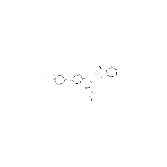 COc1ncc(-c2ccc([C@H](CN3Cc4ccc(F)cc4C3=O)NC(=O)NC=O)cc2)cn1